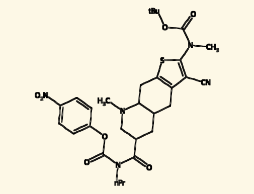 CCCN(C(=O)Oc1ccc([N+](=O)[O-])cc1)C(=O)C1CC2Cc3c(sc(N(C)C(=O)OC(C)(C)C)c3C#N)CC2N(C)C1